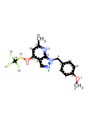 COc1ccc(Cn2ncc3c(OSC(F)(F)F)cc(C)nc32)cc1